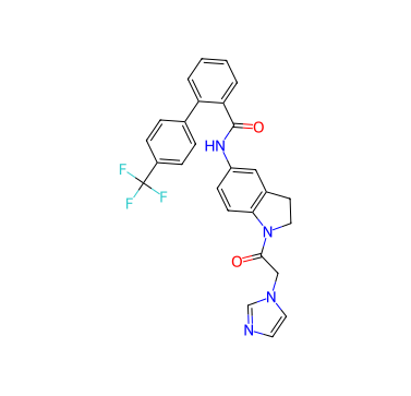 O=C(Nc1ccc2c(c1)CCN2C(=O)Cn1ccnc1)c1ccccc1-c1ccc(C(F)(F)F)cc1